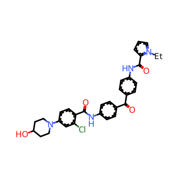 CCn1cccc1C(=O)Nc1ccc(C(=O)c2ccc(NC(=O)c3ccc(N4CCC(O)CC4)cc3Cl)cc2)cc1